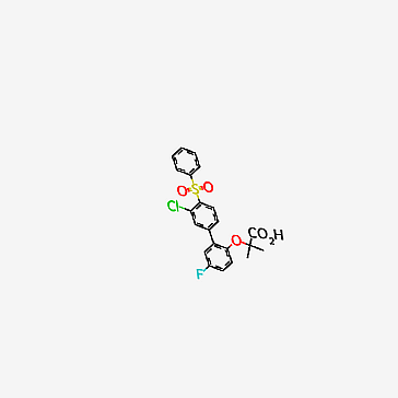 CC(C)(Oc1ccc(F)cc1-c1ccc(S(=O)(=O)c2ccccc2)c(Cl)c1)C(=O)O